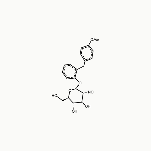 COc1ccc(Cc2ccccc2O[C@@H]2O[C@H](CO)[C@@H](O)[C@H](O)[C@H]2N=O)cc1